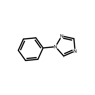 [c]1ncnn1-c1ccccc1